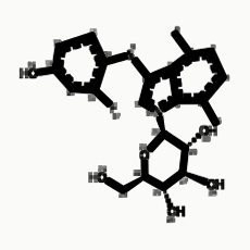 Cc1ccc(C)c2c1c(Sc1ccc(O)cc1F)cn2[C@@H]1O[C@H](CO)[C@@H](O)[C@H](O)[C@H]1O